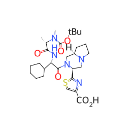 C[C@@H](C(=O)N[C@H](C(=O)N1C[C@H]2CCCN2C[C@H]1c1nc(C(=O)O)cs1)C1CCCCC1)N(C)C(=O)OC(C)(C)C